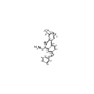 C=Cc1c(C(=C)CC)nc(CN)c2cc(Oc3ccccc3)ccc12